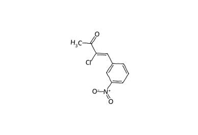 CC(=O)/C(Cl)=C/c1cccc([N+](=O)[O-])c1